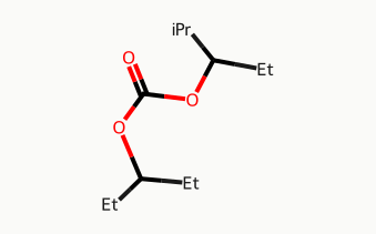 CCC(CC)OC(=O)OC(CC)C(C)C